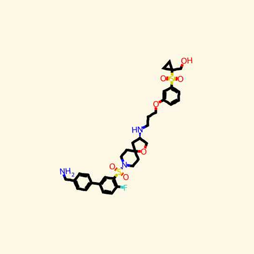 NCc1ccc(-c2ccc(F)c(S(=O)(=O)N3CCC4(CC3)C[C@@H](NCCCOc3cccc(S(=O)(=O)C5(CO)CC5)c3)CO4)c2)cc1